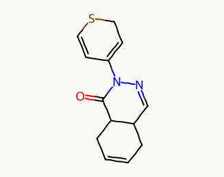 O=C1C2CC=CCC2C=NN1C1=CCSC=C1